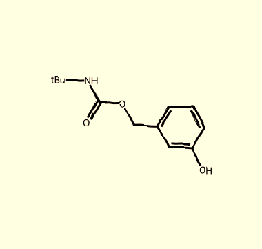 CC(C)(C)NC(=O)OCc1cccc(O)c1